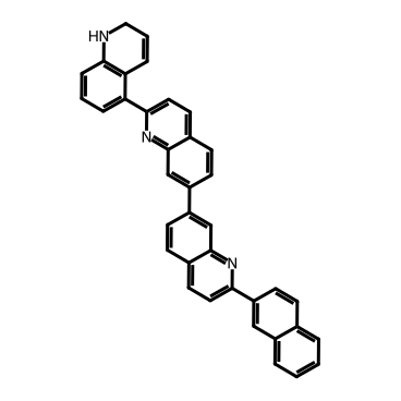 C1=Cc2c(cccc2-c2ccc3ccc(-c4ccc5ccc(-c6ccc7ccccc7c6)nc5c4)cc3n2)NC1